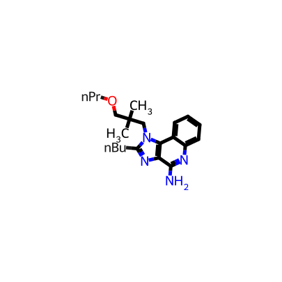 CCCCc1nc2c(N)nc3ccccc3c2n1CC(C)(C)COCCC